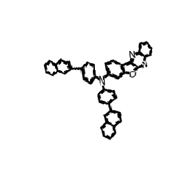 c1ccc2cc(-c3ccc(N(c4ccc(-c5ccc6ccccc6c5)cc4)c4ccc5c(c4)oc4nc6ccccc6nc45)cc3)ccc2c1